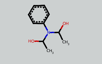 CC(O)N(c1ccccc1)C(C)O